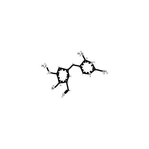 COc1cc(Cc2cnc(N)nc2N)cc(C=O)c1Br